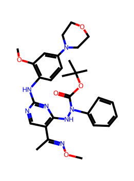 CON=C(C)c1cnc(Nc2ccc(N3CCOCC3)cc2OC)nc1NN(C(=O)OC(C)(C)C)c1ccccc1